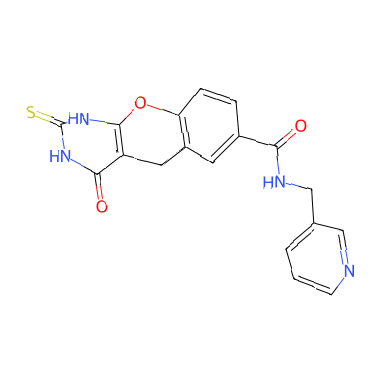 O=C(NCc1cccnc1)c1ccc2c(c1)Cc1c([nH]c(=S)[nH]c1=O)O2